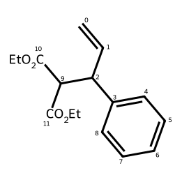 C=CC(c1ccccc1)C(C(=O)OCC)C(=O)OCC